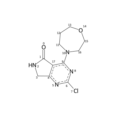 O=C1NCc2nc(Cl)nc(N3CCCOCC3)c21